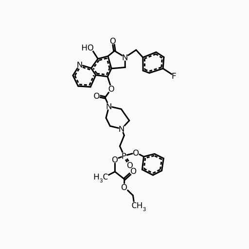 CCOC(=O)C(C)OP(=O)(CCN1CCN(C(=O)Oc2c3c(c(O)c4ncccc24)C(=O)N(Cc2ccc(F)cc2)C3)CC1)Oc1ccccc1